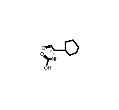 O=C[C@@H](NC(=O)O)C1CCCCC1